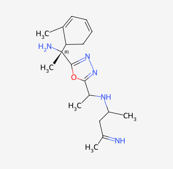 CC(=N)CC(C)NC(C)c1nnc([C@](C)(N)C2CC=CC=C2C)o1